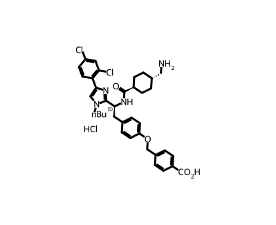 CCCCn1cc(-c2ccc(Cl)cc2Cl)nc1[C@H](Cc1ccc(OCc2ccc(C(=O)O)cc2)cc1)NC(=O)[C@H]1CC[C@H](CN)CC1.Cl